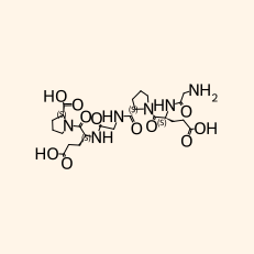 NCC(=O)N[C@@H](CCC(=O)O)C(=O)N1CCC[C@H]1C(=O)NCC(=O)N[C@@H](CCC(=O)O)C(=O)N1CCC[C@H]1C(=O)O